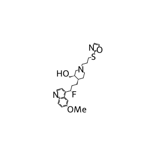 COc1ccc2nccc([C@@H](F)CC[C@@H]3CCN(CCCSc4ncco4)C[C@@H]3CO)c2c1